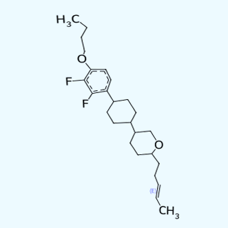 C/C=C/CCC1CCC(C2CCC(c3ccc(OCCCC)c(F)c3F)CC2)CO1